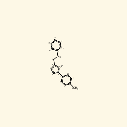 Cc1ccc(-c2cnc(CSc3ncncn3)o2)cc1